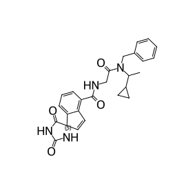 CC(C1CC1)N(Cc1ccccc1)C(=O)CNC(=O)c1cccc2c1C=C[C@]21NC(=O)NC1=O